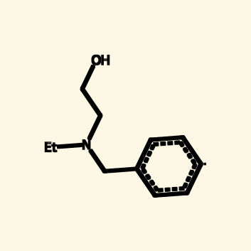 CCN(CCO)Cc1cc[c]cc1